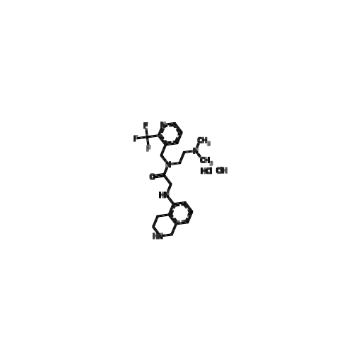 CN(C)CCN(Cc1cccnc1C(F)(F)F)C(=O)CNc1cccc2c1CCNC2.Cl.Cl